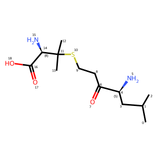 CC(C)C[C@H](N)C(=O)CCSC(C)(C)[C@H](N)C(=O)O